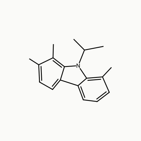 Cc1ccc2c3cccc(C)c3n(C(C)C)c2c1C